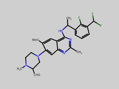 COc1cc2c(NC(C)c3cccc(C(F)F)c3F)nc(C)nc2cc1N1CCN(C)C(C=O)C1